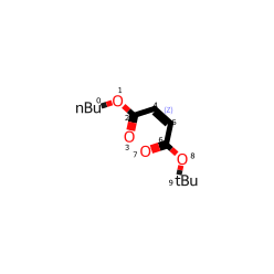 CCCCOC(=O)/C=C\C(=O)OC(C)(C)C